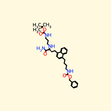 CC(C)(C)OC(=O)NCCCN[C@@H](CCc1ccc(CCCCNC(=O)OCc2ccccc2)c2ccccc12)C(N)=O